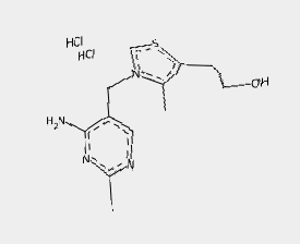 Cc1ncc(C[n+]2csc(CCO)c2C)c(N)n1.Cl.Cl